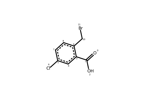 O=C(O)c1cc(Cl)ccc1CBr